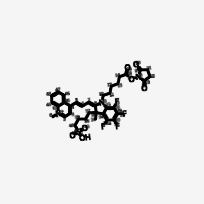 C[n+]1ccc(C=CC=C2N(CCCCCC(=O)ON3C(=O)CCC3=O)c3c(F)c(F)c(F)c(F)c3C2(C)CCCCS(=O)(=O)O)c2ccccc21